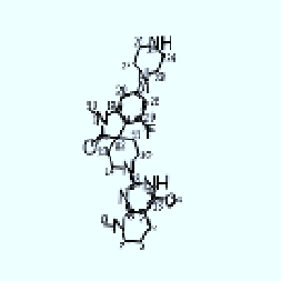 CN1CCCc2c1nc(N1CCC3(CC1)C(=O)N(C)c1cc(N4CCNCC4)cc(F)c13)[nH]c2=O